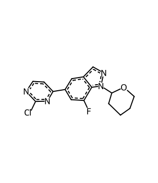 Fc1cc(-c2ccnc(Cl)n2)cc2cnn(C3CCCCO3)c12